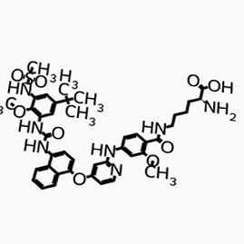 COc1cc(Nc2cc(Oc3ccc(NC(=O)Nc4cc(C(C)(C)C)cc(NS(C)(=O)=O)c4OC)c4ccccc34)ccn2)ccc1C(=O)NCCCC[C@@H](N)C(=O)O